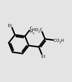 CCC(=C(C(=O)O)C(=O)O)c1cccc(CC)c1C